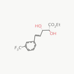 CCOC(=O)[C@H](O)[C@@H](O)/C=C/c1cccc(C(F)(F)F)c1